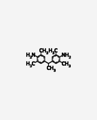 Cc1cc(C(C)c2cc(C)c(N)c(C)c2)cc(C)c1N